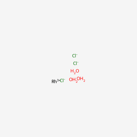 O.O.O.[Cl-].[Cl-].[Cl-].[Rh+3]